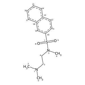 CN(C)CCN(C)S(=O)(=O)c1ccc2ccccc2c1